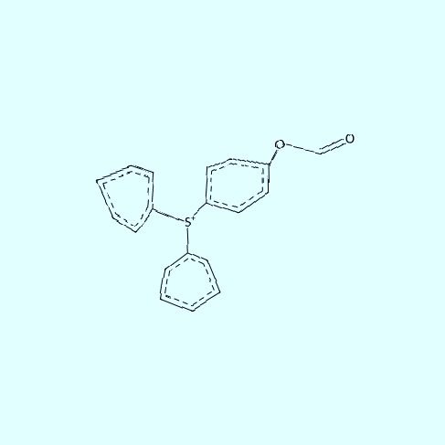 O=COc1ccc([S+](c2ccccc2)c2ccccc2)cc1